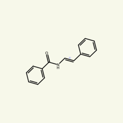 O=C(N/C=C/c1ccccc1)c1[c]cccc1